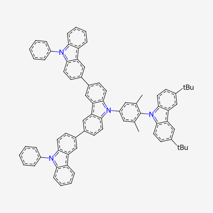 Cc1cc(-n2c3ccc(-c4ccc5c(c4)c4ccccc4n5-c4ccccc4)cc3c3cc(-c4ccc5c(c4)c4ccccc4n5-c4ccccc4)ccc32)cc(C)c1-n1c2ccc(C(C)(C)C)cc2c2cc(C(C)(C)C)ccc21